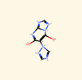 Oc1nc2ncnn2c(O)c1-n1cncn1